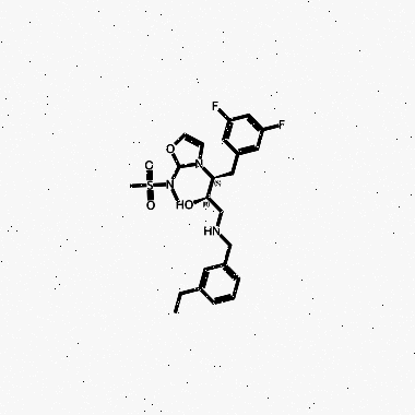 CCc1cccc(CNC[C@@H](O)[C@H](Cc2cc(F)cc(F)c2)N2C=COC2N(C)S(C)(=O)=O)c1